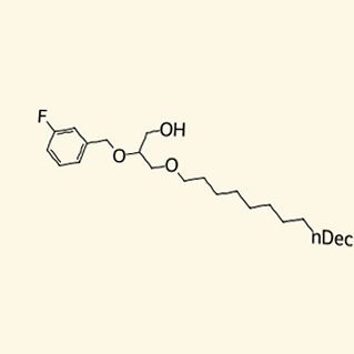 CCCCCCCCCCCCCCCCCCOCC(CO)OCc1cccc(F)c1